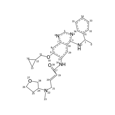 CC(Nc1ncnc2cc(OCC3CC3)c(NC(=O)C=CCN(C)C3CCOC3)cc12)c1ccccc1